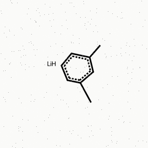 Cc1cccc(C)c1.[LiH]